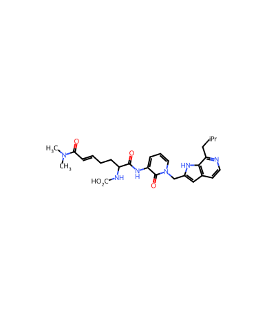 CC(C)Cc1nccc2cc(Cn3cccc(NC(=O)C(CC/C=C/C(=O)N(C)C)NC(=O)O)c3=O)[nH]c12